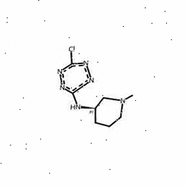 CN1CCC[C@@H](Nc2nnc(Cl)nn2)C1